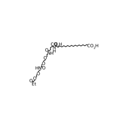 CCC(=O)COCCOCCNC(=O)COCCOCCNC(=O)CC[C@H](NC(=O)CCCCCCCCCCCCCCCCC(=O)O)C(=O)O